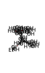 CCNC(=O)CCCCCNC(=O)CN(CC(=O)NCCO[C@@H]1O[C@@H](C)[C@@H](O)[C@@H](O)[C@@H]1O)CC(=O)NCCO[C@@H]1O[C@H](CO[C@H]2O[C@H](CO)[C@@H](O)[C@H](O)[C@@H]2O)[C@@H](O)[C@H](O[C@H]2O[C@H](CO)[C@@H](O)[C@H](O)[C@@H]2O)[C@H]1F